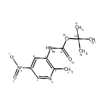 Cc1ncc([N+](=O)[O-])cc1NC(=O)OC(C)(C)C